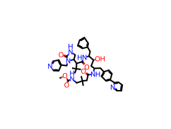 COC(=O)NCC(C)(C)CC(=O)NC(Cc1ccc(-c2ccccn2)cc1)CC(O)C(Cc1ccccc1)NC(=O)C(C1CNC(=O)N1Cc1ccncc1)C(C)(C)C